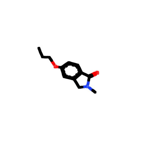 CCCOc1ccc2c(c1)CN(C)C2=O